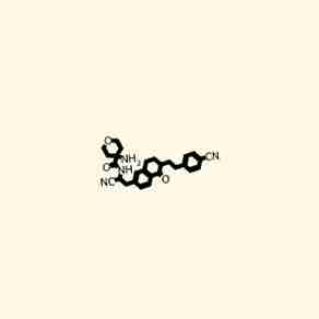 N#Cc1ccc(CCC2CCc3cc(CC(C#N)NC(=O)C4(N)CCOCC4)ccc3C2=O)cc1